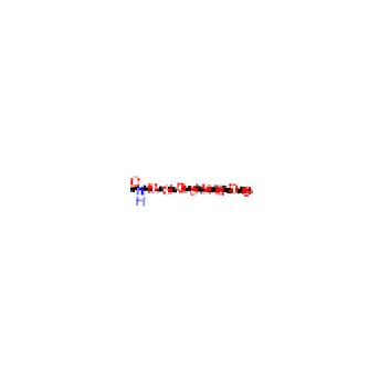 COCCOCCOCCOCCOCCOCCOCCOCCNC(C)=O